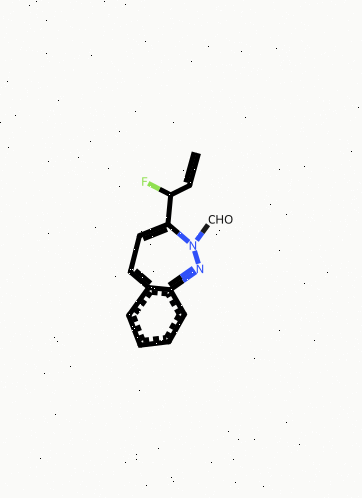 C=CC(F)C1=CC=c2ccccc2=NN1C=O